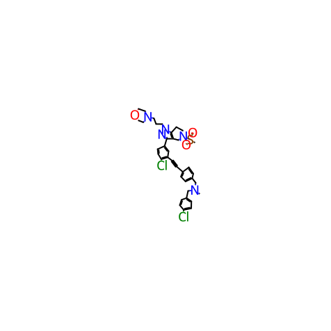 CN(Cc1ccc(Cl)cc1)Cc1ccc(C#Cc2cc(-c3nn(CCCN4CCOCC4)c4c3CN(S(C)(=O)=O)CC4)ccc2Cl)cc1